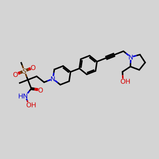 CC(CCN1CC=C(c2ccc(C#CCN3CCCC3CO)cc2)CC1)(C(=O)NO)S(C)(=O)=O